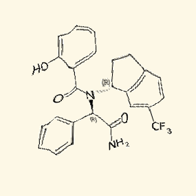 NC(=O)[C@@H](c1ccccc1)N(C(=O)c1ccccc1O)[C@@H]1CCc2ccc(C(F)(F)F)cc21